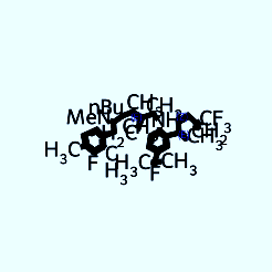 C=C/C(C(=C)Nc1ccc(C(C)(C)F)cc1C(/C=C\C(=C)C(F)(F)F)=C/C)=C(/C)C(C)(CCCC)C(Cc1ccc(C)c(F)c1C)NC